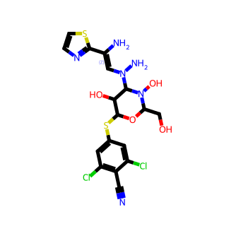 N#Cc1c(Cl)cc(SC2OC(CO)N(O)C(N(N)/C=C(\N)c3nccs3)C2O)cc1Cl